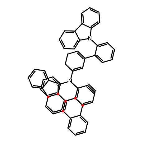 C1=C=C(c2ccc#cc2N(C2=CC(c3ccccc3-n3c4ccccc4c4ccccc43)=CCC2)c2ccccc2C2=Cc3ccccc3CC2)c2oc3ccccc3c2C=1